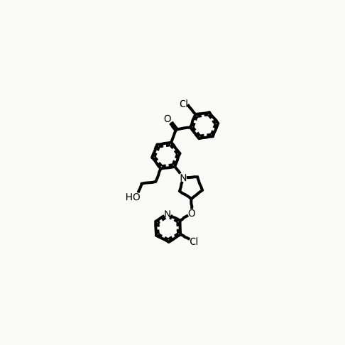 O=C(c1ccc(CCO)c(N2CCC(Oc3ncccc3Cl)C2)c1)c1ccccc1Cl